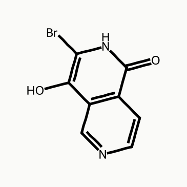 O=c1[nH]c(Br)c(O)c2cnccc12